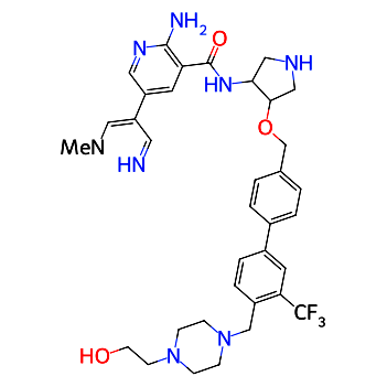 CN/C=C(\C=N)c1cnc(N)c(C(=O)NC2CNCC2OCc2ccc(-c3ccc(CN4CCN(CCO)CC4)c(C(F)(F)F)c3)cc2)c1